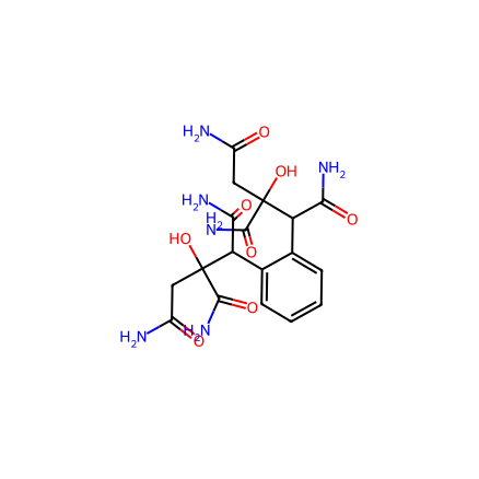 NC(=O)CC(O)(C(N)=O)C(C(N)=O)c1ccccc1C(C(N)=O)C(O)(CC(N)=O)C(N)=O